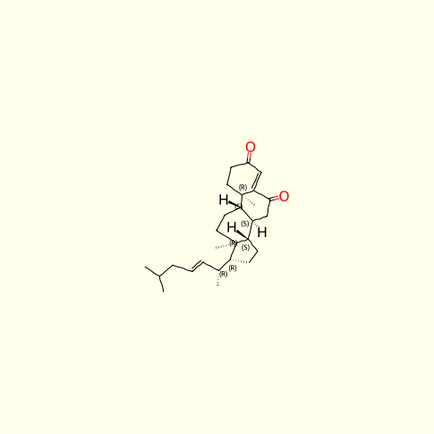 CC(C)CC=C[C@@H](C)[C@H]1CC[C@H]2[C@@H]3CC(=O)C4=CC(=O)CC[C@]4(C)[C@H]3CC[C@]12C